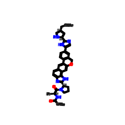 COC[C@@H]1CN[C@H](c2ncc(-c3ccc4c(c3)COc3cc5c(ccc6nc([C@@H]7CCCN7C(=O)[C@@H](NC(=O)OC)C(C)C)[nH]c65)cc3-4)[nH]2)C1